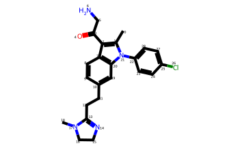 Cc1c(C(=O)CN)c2ccc(CCC3=NCCN3C)cc2n1-c1ccc(Cl)cc1